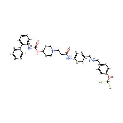 O=C(CCN1CCC(OC(=O)Nc2ccccc2-c2ccccc2)CC1)Nc1ccc(CNCc2ccc(OC(F)F)cc2)cc1